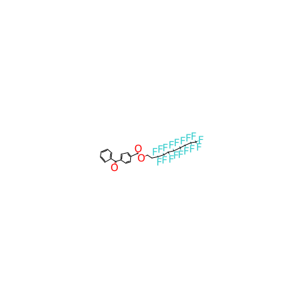 O=C(OCCC(F)(F)C(F)(F)C(F)(F)C(F)(F)C(F)(F)C(F)(F)C(F)(F)C(F)(F)F)c1ccc(C(=O)c2ccccc2)cc1